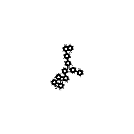 c1ccc(-c2ccc(N(c3ccc(-c4ccc(-c5cccc6ccccc56)cc4)cc3)c3cccc(-c4cccc5c4c4ccccc4n5-c4cccc5sc6ccccc6c45)c3)cc2)cc1